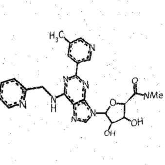 CNC(=O)[C@@H]1OC(n2cnc3c(NCc4ccccn4)nc(-c4cncc(C)c4)nc32)C(O)C1O